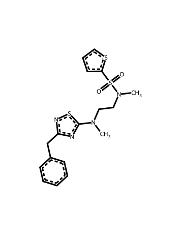 CN(CCN(C)S(=O)(=O)c1cccs1)c1nc(Cc2ccccc2)ns1